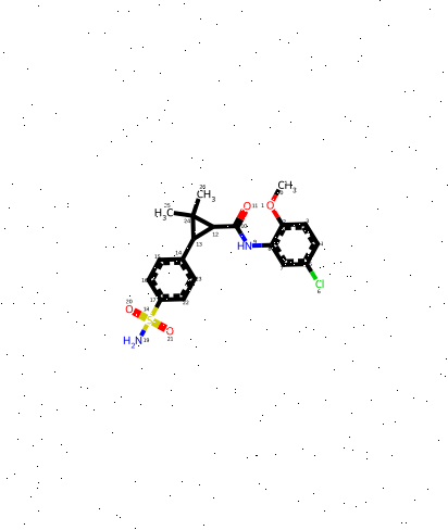 COc1ccc(Cl)cc1NC(=O)C1C(c2ccc(S(N)(=O)=O)cc2)C1(C)C